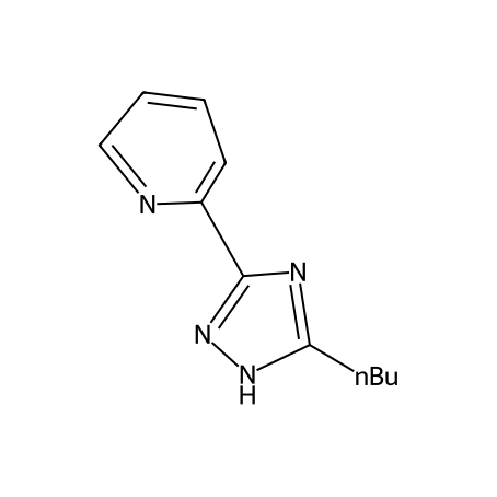 CCCCc1nc(-c2ccccn2)n[nH]1